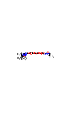 C=C1CC(C(C)(C)C)C(=O)N1Cc1cn(CCOCCOCCOCCOCCOCCOCCOCCNC(=O)N2CC[C@@H](C)C2)nn1